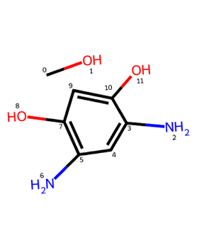 CO.Nc1cc(N)c(O)cc1O